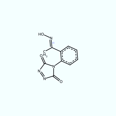 C/C(=N\O)c1ccccc1N1C(=O)N=NC1=O